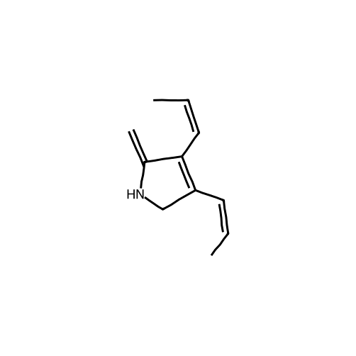 C=C1NCC(/C=C\C)=C1/C=C\C